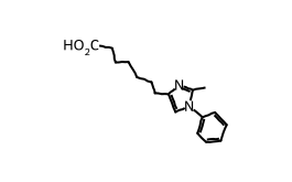 Cc1nc(CCCCCCC(=O)O)cn1-c1ccccc1